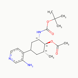 CC(=O)O[C@H]1[C@H](C)CC(c2ccncc2N)C[C@@H]1NC(=O)OC(C)(C)C